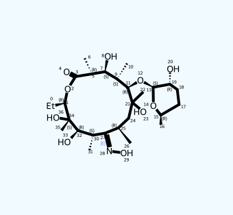 CC[C@H]1OC(=O)[C@H](C)[C@@H](O)[C@H](C)[C@@H](O[C@@H]2O[C@H](C)CC[C@H]2O)C(C)(O)C[C@@H](C)/C(=N\O)[C@H](C)[C@@H](O)[C@]1(C)O